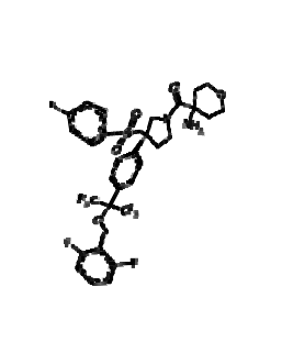 NC1(C(=O)N2CC[C@](c3ccc(C(OCc4c(F)cccc4F)(C(F)(F)F)C(F)(F)F)cc3)(S(=O)(=O)c3ccc(F)cc3)C2)CCOCC1